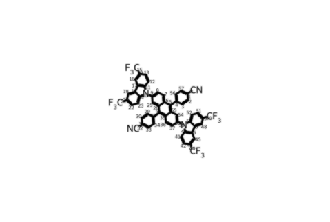 N#Cc1ccc(-c2c3ccc(-n4c5ccc(C(F)(F)F)cc5c5cc(C(F)(F)F)ccc54)cc3c(-c3ccc(C#N)cc3)c3ccc(-n4c5ccc(C(F)(F)F)cc5c5cc(C(F)(F)F)ccc54)cc23)cc1